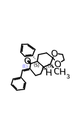 C[C@H]1[C@@H]2CC/C(=C\c3ccccc3)C(=O)[C@@]2(c2ccccc2)CCC12OCCO2